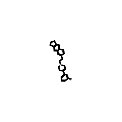 Fc1cccc(C2=CCN(CCc3ccc4cc5c(cc4c3)CCC5)CC2)c1